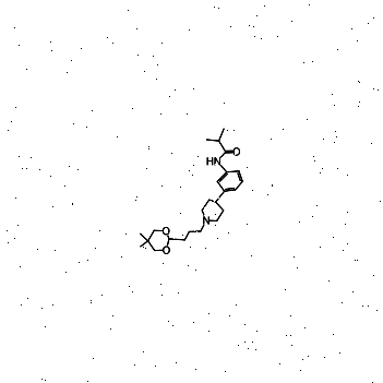 CC(C)C(=O)Nc1cccc(C2CCN(CCCC3OCC(C)(C)CO3)CC2)c1